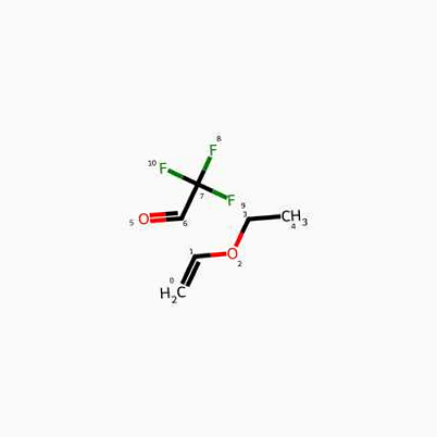 C=COCC.O=CC(F)(F)F